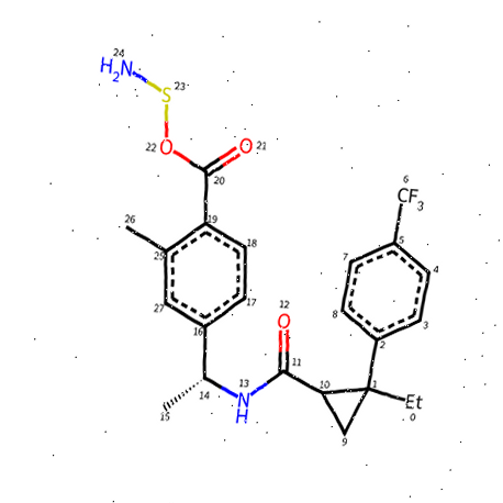 CCC1(c2ccc(C(F)(F)F)cc2)CC1C(=O)N[C@H](C)c1ccc(C(=O)OSN)c(C)c1